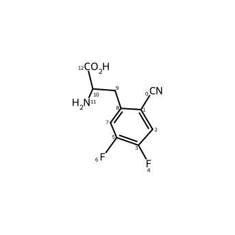 N#Cc1cc(F)c(F)cc1CC(N)C(=O)O